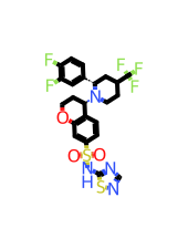 O=S(=O)(Nc1ncns1)c1ccc2c(c1)OCC[C@@H]2N1CCC(C(F)(F)F)C[C@H]1c1ccc(F)c(F)c1